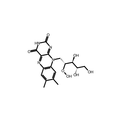 Cc1cc2nc3c(=O)[nH]c(=O)nc-3n(C[C@@H](OO)[C@@H](O)[C@@H](O)CO)c2cc1C